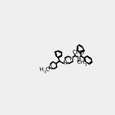 CN1CCC(C(CN2CCN(C(C=O)N(C)C(c3ccccc3)c3ccccc3)CC2)c2ccccc2)CC1